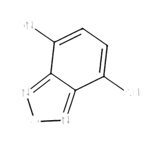 O=Nc1ccc(S)c2nonc12